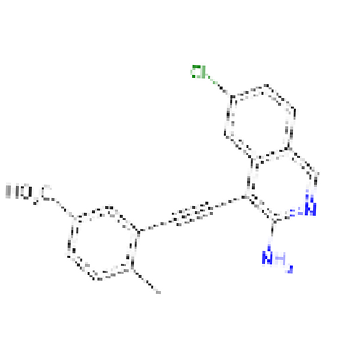 Cc1ccc(C(=O)O)cc1C#Cc1c(N)ncc2ccc(Cl)cc12